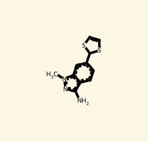 Cn1nc(N)c2ccc(C3SC=CS3)cc21